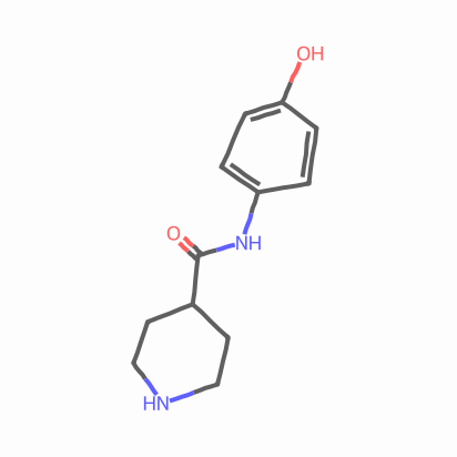 O=C(Nc1ccc(O)cc1)C1CCNCC1